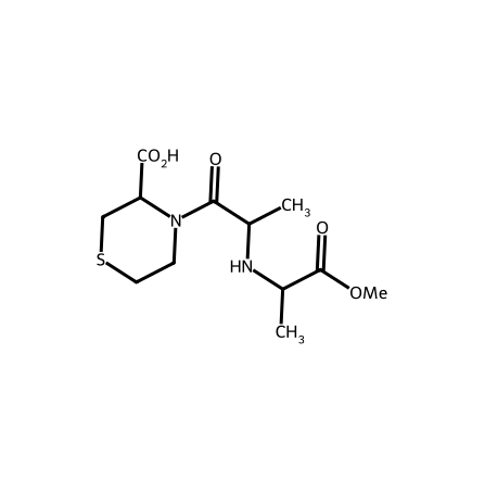 COC(=O)C(C)NC(C)C(=O)N1CCSCC1C(=O)O